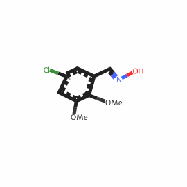 COc1cc(Cl)cc(C=NO)c1OC